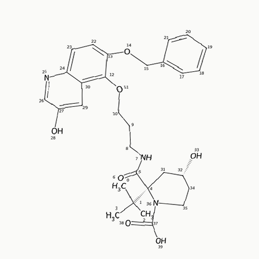 CC(C)(C)[C@]1(C(=O)NCCCOc2c(OCc3ccccc3)ccc3ncc(O)cc23)C[C@H](O)CCN1C(=O)O